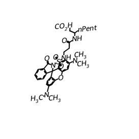 CCCCCC(CC(=O)O)NC(=O)CCNS(=O)(=O)N1C(=O)c2ccccc2C12c1ccc(N(C)C)cc1Oc1cc(N(C)C)ccc12